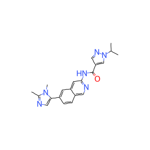 Cc1ncc(-c2ccc3cnc(NC(=O)c4cnn(C(C)C)c4)cc3c2)n1C